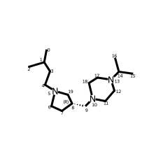 CC(C)CCN1CC[C@@H](CN2CCN(C(C)C)CC2)C1